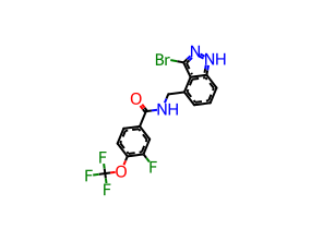 O=C(NCc1cccc2[nH]nc(Br)c12)c1ccc(OC(F)(F)F)c(F)c1